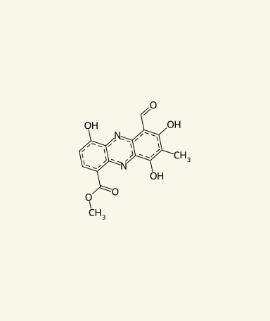 COC(=O)c1ccc(O)c2nc3c(C=O)c(O)c(C)c(O)c3nc12